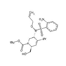 C=CCON([C@H]1CN(C(=O)OC(C)(C)C)[C@H](CO)C=C1C(C)C)S(=O)(=O)c1ccccc1[N+](=O)[O-]